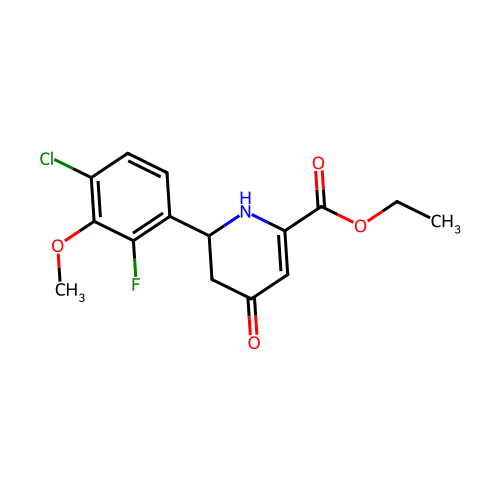 CCOC(=O)C1=CC(=O)CC(c2ccc(Cl)c(OC)c2F)N1